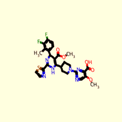 COC(=O)C1=C(C2CCN(c3ncc(OC)c(C(=O)O)n3)CC2)NC(c2nccs2)=NC1c1ccc(F)c(F)c1C